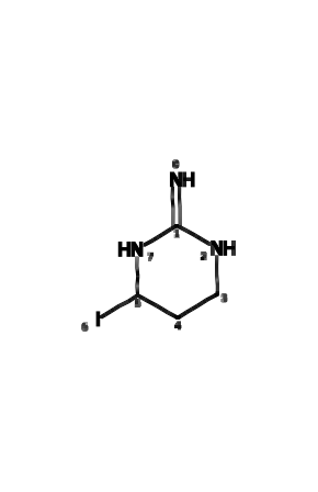 N=C1NCCC(I)N1